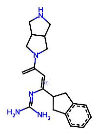 C=C(/C=C(\N=C(N)N)C1Cc2ccccc2C1)N1CC2CNCC2C1